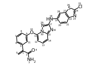 C=C(C(N)=O)c1cccc(Oc2cccc3nc(Nc4ccc5nc(Cl)sc5c4)nn23)c1